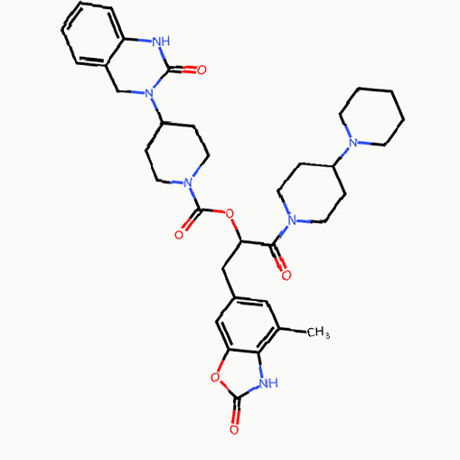 Cc1cc(CC(OC(=O)N2CCC(N3Cc4ccccc4NC3=O)CC2)C(=O)N2CCC(N3CCCCC3)CC2)cc2oc(=O)[nH]c12